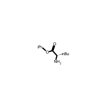 CCCC[C@H](N)C(=O)OC(C)C